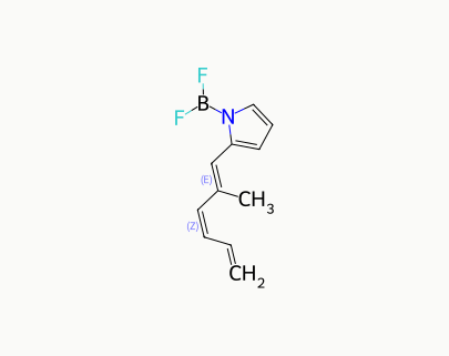 C=C/C=C\C(C)=C\c1cccn1B(F)F